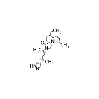 C=CC1=C(/C=C\CC)NC2(CC1)CCN(/C(C)=C/C=C(\C)c1cn[nH]c1)C2=O